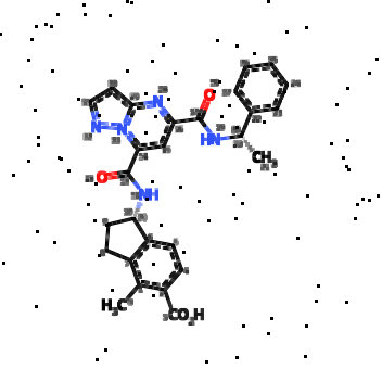 Cc1c(C(=O)O)ccc2c1CC[C@@H]2NC(=O)c1cc(C(=O)N[C@@H](C)c2ccccc2)nc2ccnn12